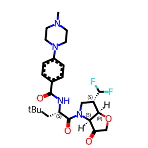 CN1CCN(c2ccc(C(=O)N[C@@H](CC(C)(C)C)C(=O)N3C[C@H](C(F)F)[C@H]4OCC(=O)[C@H]43)cc2)CC1